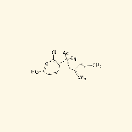 C=C=CC(=C)CC(O)(C(C)=O)c1ccc(O)cc1Cl